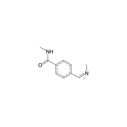 C/N=C\c1ccc(C(=O)NC)cc1